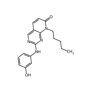 CCCCCn1c(=O)ccc2cnc(Nc3cccc(O)c3)nc21